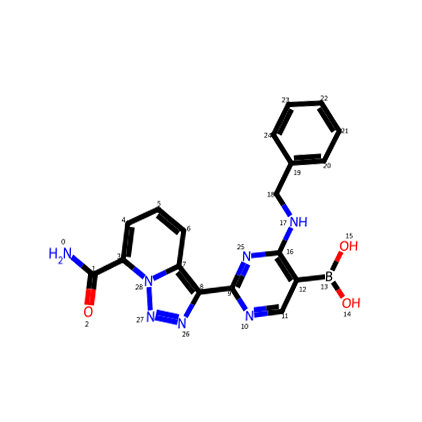 NC(=O)c1cccc2c(-c3ncc(B(O)O)c(NCc4ccccc4)n3)nnn12